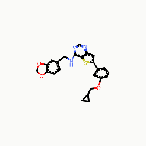 c1cc(OCC2CC2)cc(-c2cc3ncnc(NCc4ccc5c(c4)OCO5)c3s2)c1